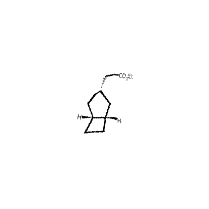 CCOC(=O)C[C@H]1C[C@H]2CC[C@H]2C1